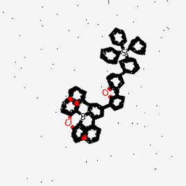 c1ccc(-c2cc(-c3cccc4c3oc3ccc(-c5cccc([Si](c6ccccc6)(c6ccccc6)c6ccccc6)c5)cc34)cc(-c3ccccc3)c2B2c3ccccc3Oc3ccccc32)cc1